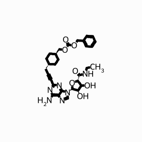 CCNC(=O)[C@H]1O[C@@H](n2cnc3c(N)nc(C#CC[C@H]4CC[C@H](COC(=O)OCc5ccccc5)CC4)nc32)[C@@H](O)C1O